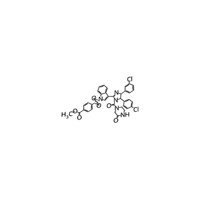 COC(=O)c1ccc(S(=O)(=O)n2cc(C3=NC(c4cccc(Cl)c4)C(c4ccc(Cl)cc4)N3C(=O)N3CCNC(=O)C3)c3ccccc32)cc1